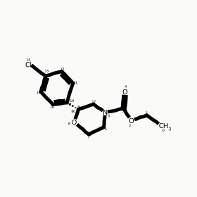 CCOC(=O)N1CCO[C@H](c2ccc(Cl)cc2)C1